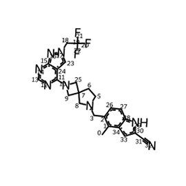 Cc1c(CN2CCC3(C2)CN(c2ncnc4nn(CC(F)(F)F)cc24)C3)ccc2[nH]c(C#N)cc12